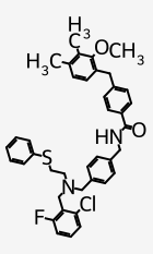 COc1c(Cc2ccc(C(=O)NCc3ccc(CN(CCSc4ccccc4)Cc4c(F)cccc4Cl)cc3)cc2)ccc(C)c1C